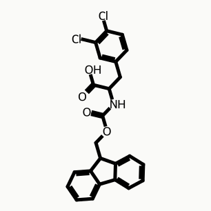 O=C(NC(Cc1ccc(Cl)c(Cl)c1)C(=O)O)OCC1c2ccccc2-c2ccccc21